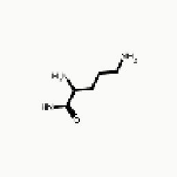 [NH]C(=O)C(N)CCCN